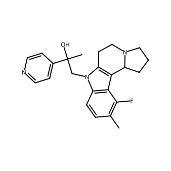 Cc1ccc2c(c1F)c1c(n2CC(C)(O)c2ccncc2)CCN2CCCC12